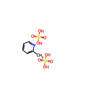 Cc1ccccn1.O=S(=O)(O)O.O=S(=O)(O)O